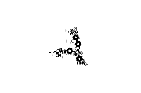 Cc1cc(S(=O)(=O)N(C)Cl)ccc1-c1ccc(C[C@H](NC(=O)[C@H]2CC[C@H](CNC(=O)OC(C)(C)C)CC2)C(=O)Nc2ccc3[nH]c(=O)[nH]c3c2)cc1